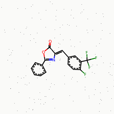 O=C1OC(c2ccccc2)=NC1=Cc1ccc(F)c(C(F)(F)F)c1